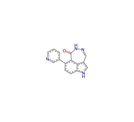 O=C1NN=Cc2c[nH]c3ccc(-c4cccnc4)c1c23